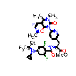 C=N/C=C\c1c(C)n(C)c(=O)n(-c2ccc(C[C@H](NC(=O)c3c(F)cc(N(C4CC4)[C@H](CC)C(F)(F)F)cc3F)C(=O)OC)cn2)c1=O